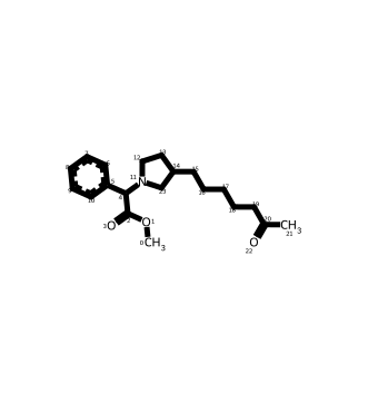 COC(=O)C(c1ccccc1)N1CCC(CCCCCC(C)=O)C1